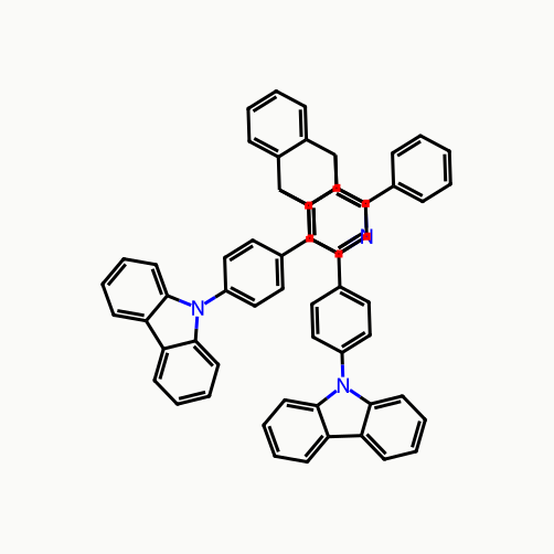 c1ccc(-c2nc(-c3ccc(-n4c5ccccc5c5ccccc54)cc3)c(-c3ccc(-n4c5ccccc5c5ccccc54)cc3)c3c2C2c4ccccc4C3c3ccccc32)cc1